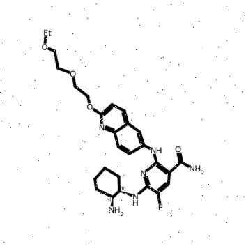 CCOCCOCCOc1ccc2cc(Nc3nc(N[C@@H]4CCCC[C@@H]4N)c(F)cc3C(N)=O)ccc2n1